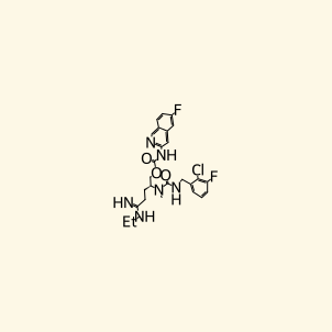 CCNC(=N)CC[C@@H](COC(=O)Nc1cc2cc(F)ccc2cn1)N(C)C(=O)NCc1cccc(F)c1Cl